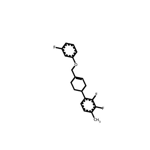 Cc1ccc(C2CC=C(COc3cccc(F)c3)CC2)c(F)c1F